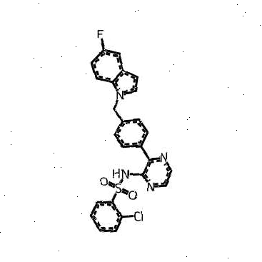 O=S(=O)(Nc1nccnc1-c1ccc(Cn2ccc3cc(F)ccc32)cc1)c1ccccc1Cl